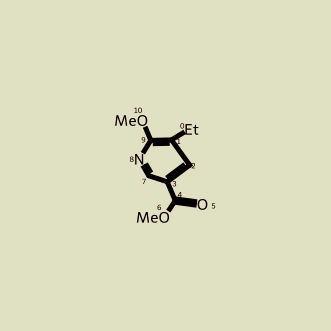 CCc1cc(C(=O)OC)cnc1OC